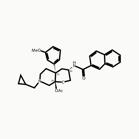 COc1cccc([C@@]23CCN(CC4CC4)C[C@@]2(OC(C)=O)CC[C@@H](NC(=O)c2ccc4ccccc4c2)C3)c1